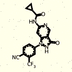 N#Cc1ccc(-n2[nH]c(=O)c3cnc(NC(=O)C4CC4)cc32)cc1C(F)(F)F